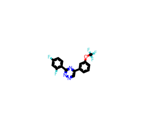 Fc1ccc(-c2nncc(-c3cccc(OC(F)(F)F)c3)n2)c(F)c1